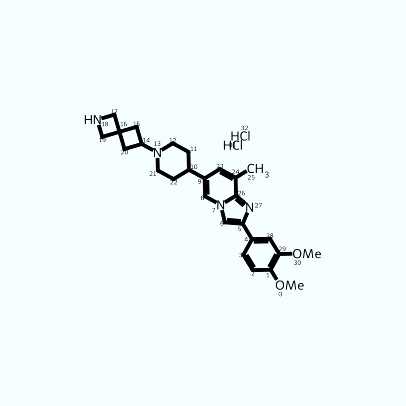 COc1ccc(-c2cn3cc(C4CCN(C5CC6(CNC6)C5)CC4)cc(C)c3n2)cc1OC.Cl.Cl